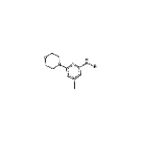 CC(C)Nc1cc(I)cc(N2CCOCC2)n1